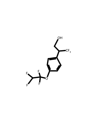 OCC(c1ccc(OC(F)(F)C(F)F)cc1)C(F)(F)F